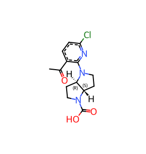 CC(=O)c1ccc(Cl)nc1N1CC[C@H]2[C@H]1CCN2C(=O)O